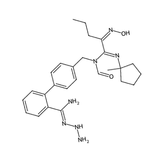 CCCC(=N/O)/C(=N/C1(C)CCCC1)N(C=O)Cc1ccc(-c2ccccc2/C(N)=N/NN)cc1